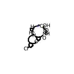 C[C@@H]1[C@H](O)C/C=C/C[C@@H]2CC[C@H]2CN2CCCCc3cc(Cl)ccc3COc3ccc(cc32)C(=O)NS1(=O)=O